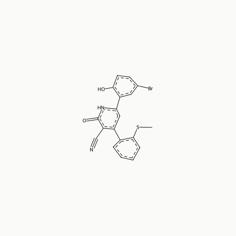 CSc1ccccc1-c1cc(-c2cc(Br)ccc2O)[nH]c(=O)c1C#N